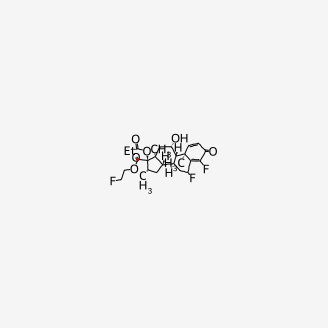 CCC(=O)O[C@]1(C(=O)OCCF)[C@@H](C)C[C@H]2[C@@H]3C[C@H](F)C4=C(F)C(=O)C=C[C@]4(C)[C@H]3[C@@H](O)C[C@@]21C